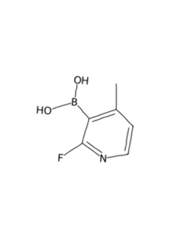 Cc1ccnc(F)c1B(O)O